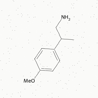 COc1ccc(C(C)CN)cc1